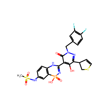 CS(=O)(=O)Nc1ccc2c(c1)P(=O)(O)N=C(c1c(O)c(C3C=CSC3)nn(Cc3ccc(F)c(F)c3)c1=O)N2